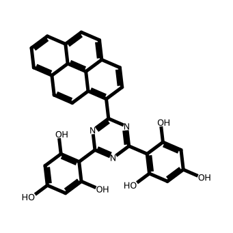 Oc1cc(O)c(-c2nc(-c3c(O)cc(O)cc3O)nc(-c3ccc4ccc5cccc6ccc3c4c56)n2)c(O)c1